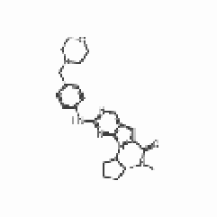 CN(C)C(=O)c1cc2cnc(Nc3ccc(CN4CCOCC4)cc3)nc2n1C1CCCC1